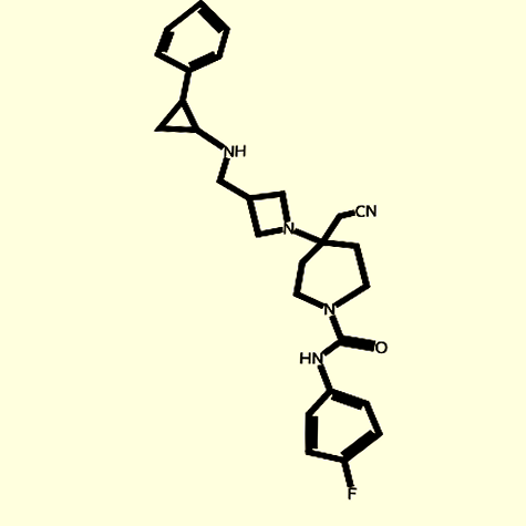 N#CCC1(N2CC(CNC3CC3c3ccccc3)C2)CCN(C(=O)Nc2ccc(F)cc2)CC1